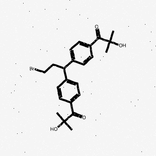 CC(C)(O)C(=O)c1ccc(C(CCBr)c2ccc(C(=O)C(C)(C)O)cc2)cc1